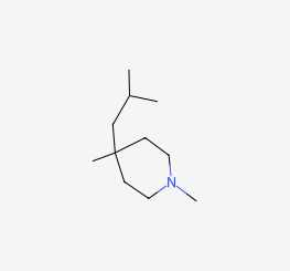 CC(C)CC1(C)CCN(C)CC1